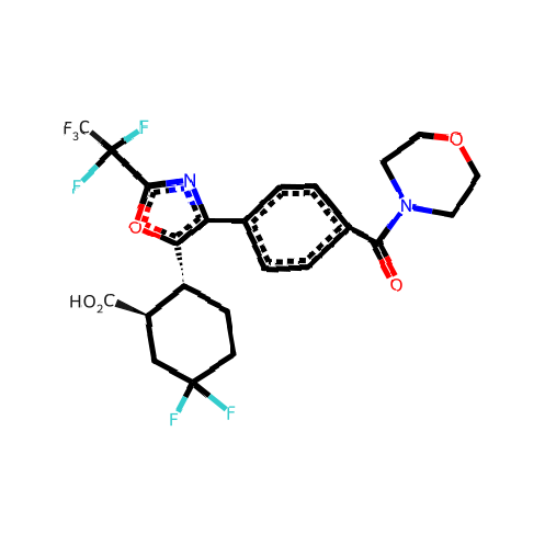 O=C(O)[C@@H]1CC(F)(F)CC[C@H]1c1oc(C(F)(F)C(F)(F)F)nc1-c1ccc(C(=O)N2CCOCC2)cc1